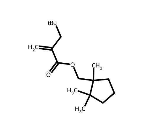 C=C(CC(C)(C)C)C(=O)OCC1(C)CCCC1(C)C